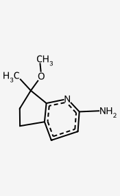 COC1(C)CCc2ccc(N)nc21